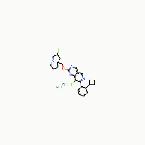 Cl.Cl.Fc1c(-c2ccccc2C2CCC2)ncc2cnc(OCC34CCCN3CC(F)C4)nc12